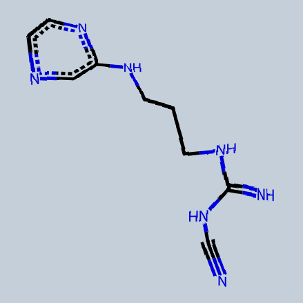 N#CNC(=N)NCCCNc1cnccn1